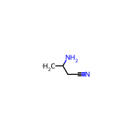 [CH2]C(N)CC#N